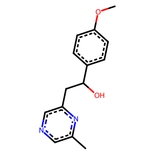 COc1ccc(C(O)Cc2cncc(C)n2)cc1